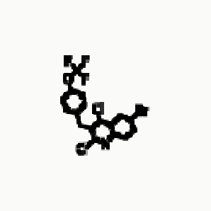 FC(F)(F)Oc1ccc(Cc2c(Cl)nc3ccc(Br)cc3c2Cl)cc1